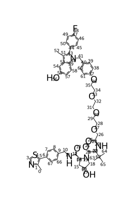 Cc1ncsc1-c1ccc(CNC(=O)[C@@H]2C[C@@H](O)CN2C(=O)[C@@H](NC(=O)COCCOCCOCCOc2ccc(Cn3c(-c4ccc(F)cc4)c(C)c4cc(O)ccc43)cc2)C(C)(C)C)cc1